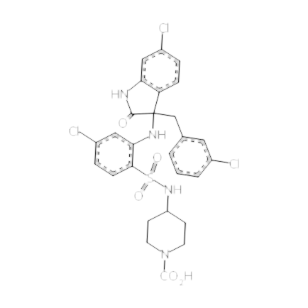 O=C(O)N1CCC(NS(=O)(=O)c2ccc(Cl)cc2NC2(Cc3cccc(Cl)c3)C(=O)Nc3cc(Cl)ccc32)CC1